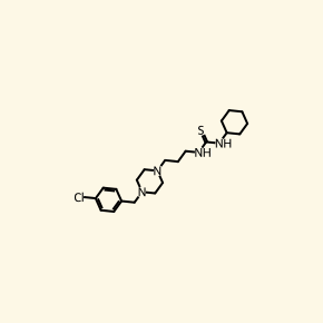 S=C(NCCCN1CCN(Cc2ccc(Cl)cc2)CC1)NC1CCCCC1